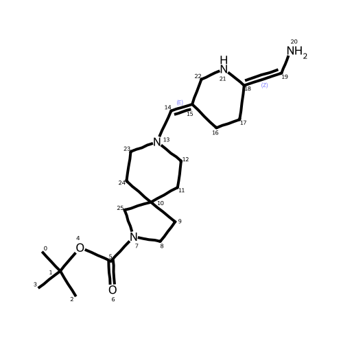 CC(C)(C)OC(=O)N1CCC2(CCN(/C=C3\CC/C(=C/N)NC3)CC2)C1